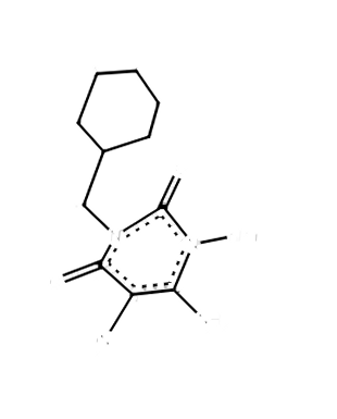 CCCCn1c(N)c(N=O)c(=O)n(CC2CCCCC2)c1=O